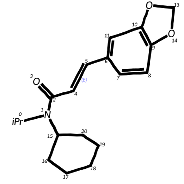 CC(C)N(C(=O)/C=C/c1ccc2c(c1)OCO2)C1CCCCC1